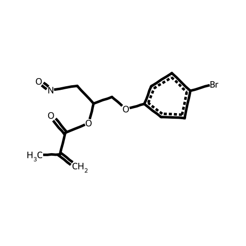 C=C(C)C(=O)OC(CN=O)COc1ccc(Br)cc1